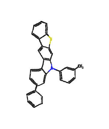 Cc1cccc(-n2c3cc(-c4ccccc4)ccc3c3cc4c(cc32)sc2ccccc24)c1